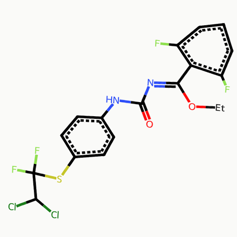 CCO/C(=N\C(=O)Nc1ccc(SC(F)(F)C(Cl)Cl)cc1)c1c(F)cccc1F